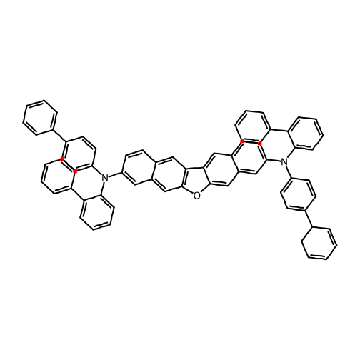 C1=CCC(c2ccc(N(c3ccc4cc5c(cc4c3)oc3cc4cc(N(c6ccc(-c7ccccc7)cc6)c6ccccc6-c6ccccc6)ccc4cc35)c3ccccc3-c3ccccc3)cc2)C=C1